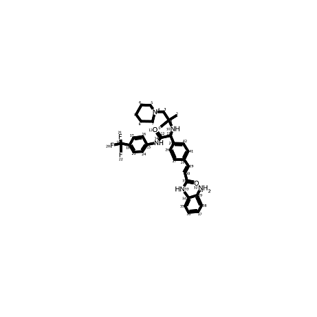 CC(C)(CN1CCCCC1)NC(C(=O)Nc1ccc(C(F)(F)F)cc1)c1ccc(C=CC(=O)Nc2ccccc2N)cc1